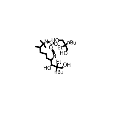 CCCCC(CC)(CO)C(O)C(CCCC(C)C(C)(C)N=C=O)N=C=O.CCCCC(CC)(CO)CO